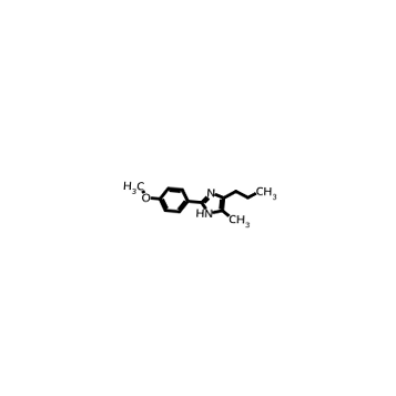 CCCc1nc(-c2ccc(OC)cc2)[nH]c1C